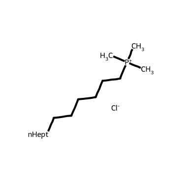 CCCCCCCCCCCCC[P+](C)(C)C.[Cl-]